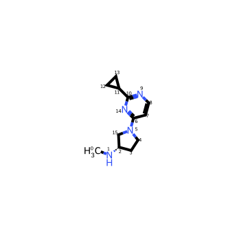 CN[C@H]1CCN(c2ccnc(C3CC3)n2)C1